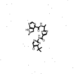 CC(NC(=O)c1ncnc2c1CN(C)N2)c1ncc(C(=O)Nc2ncc(Cl)c(C(C)(C)C)n2)s1